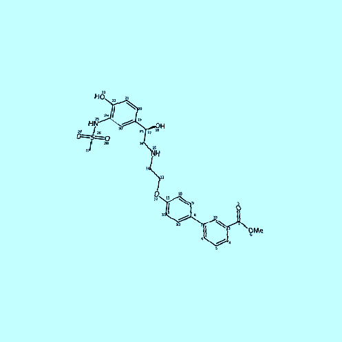 COC(=O)c1cccc(-c2ccc(OCCNC[C@H](O)c3ccc(O)c(NS(C)(=O)=O)c3)cc2)c1